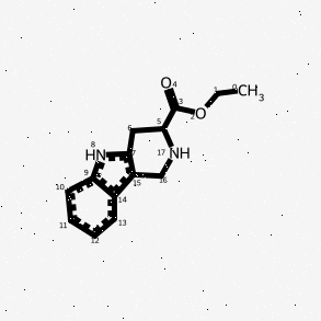 CCOC(=O)C1Cc2[nH]c3ccccc3c2CN1